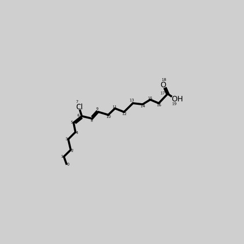 CCCCC/C=C(Cl)\C=C\CCCCCCCC(=O)O